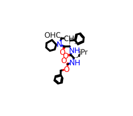 CC(C)C[C@H](NC(=O)OCc1ccccc1)C(=O)N[C@@H](Cc1ccccc1)C(=O)N(C(C)C=O)C1CCCCC1